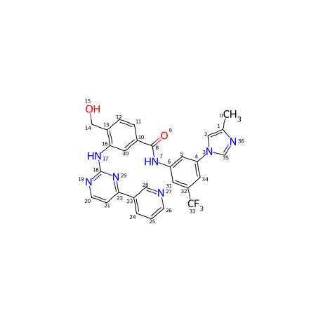 Cc1cn(-c2cc(NC(=O)c3ccc(CO)c(Nc4nccc(-c5cccnc5)n4)c3)cc(C(F)(F)F)c2)cn1